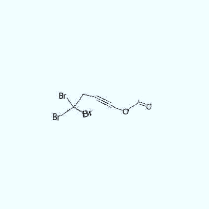 O=[C]OC#CCC(Br)(Br)Br